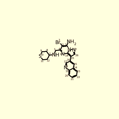 Nc1c(Br)c(CNC2CCSCC2)nc2c(-c3cnc4ccccc4c3)cnn12